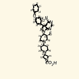 Nc1ncnc2c1c(-c1ccc(Oc3ccccc3)cc1)nn2[C@@H]1CCN(C2CCN(C3CN(C(=O)O)C3)CC2)C[C@@H]1F